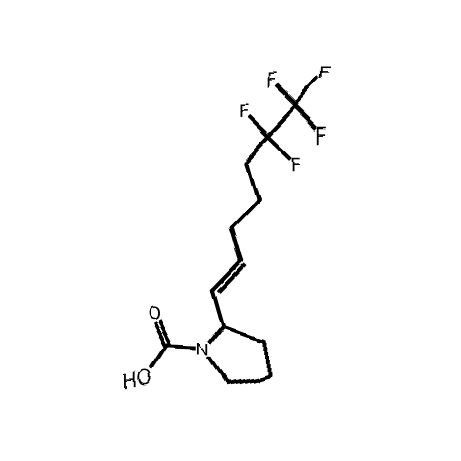 O=C(O)N1CCCC1C=CCCCC(F)(F)C(F)(F)F